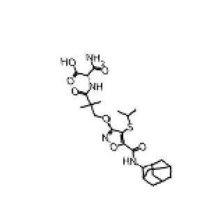 CC(C)Sc1c(OCC(C)(C)C(=O)N[C@@H](C(N)=O)C(=O)O)noc1C(=O)NC1C2CC3CC(C2)CC1C3